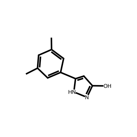 Cc1cc(C)cc(-c2cc(O)n[nH]2)c1